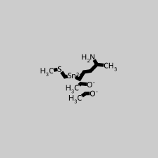 CC[O-].CC[O-].CS[CH2][Sn+2][CH2]CCC(C)N